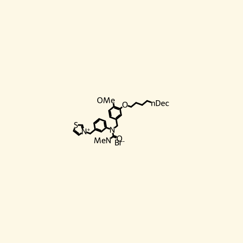 CCCCCCCCCCCCCCOc1cc(CN(C(=O)NC)c2cccc(C[n+]3ccsc3)c2)ccc1OC.[Br-]